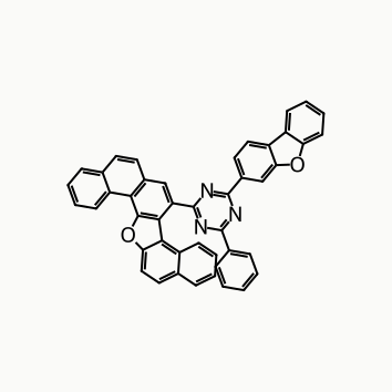 c1ccc(-c2nc(-c3ccc4c(c3)oc3ccccc34)nc(-c3cc4ccc5ccccc5c4c4oc5ccc6ccccc6c5c34)n2)cc1